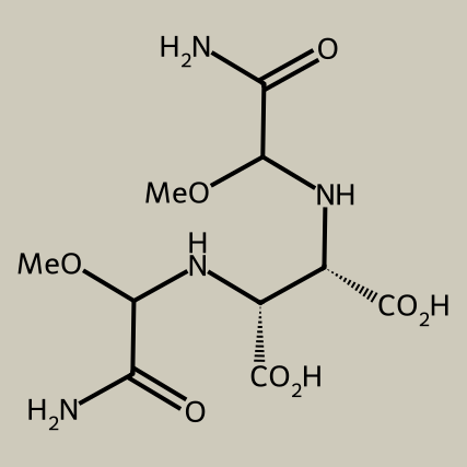 COC(N[C@H](C(=O)O)[C@@H](NC(OC)C(N)=O)C(=O)O)C(N)=O